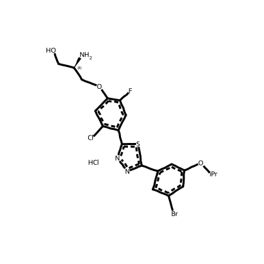 CC(C)Oc1cc(Br)cc(-c2nnc(-c3cc(F)c(OC[C@H](N)CO)cc3Cl)s2)c1.Cl